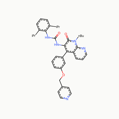 CCCCn1c(=O)c(NC(=O)Nc2c(C(C)C)cccc2C(C)C)c(-c2cccc(OCc3ccncc3)c2)c2cccnc21